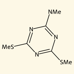 CNc1nc(SC)nc(SC)n1